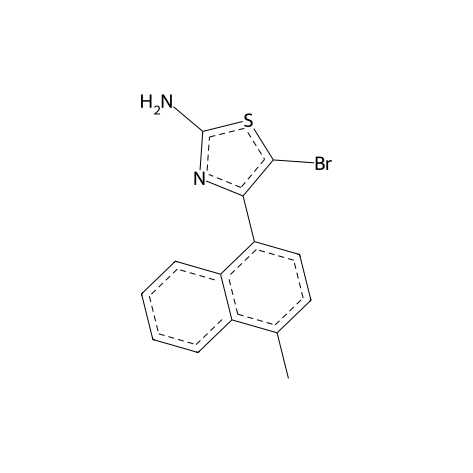 Cc1ccc(-c2nc(N)sc2Br)c2ccccc12